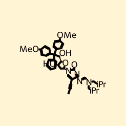 CC#Cc1cn([C@H]2C[C@H](O)[C@@H](C(O)C(c3ccccc3)(c3ccc(OC)cc3)c3ccc(OC)cc3)O2)c(=O)nc1N=CN(CC(C)C)CC(C)C